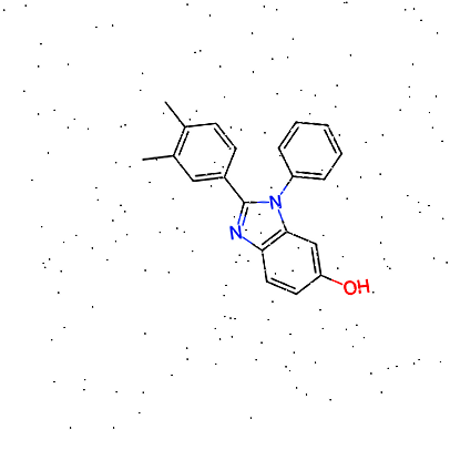 Cc1ccc(-c2nc3ccc(O)cc3n2-c2ccccc2)cc1C